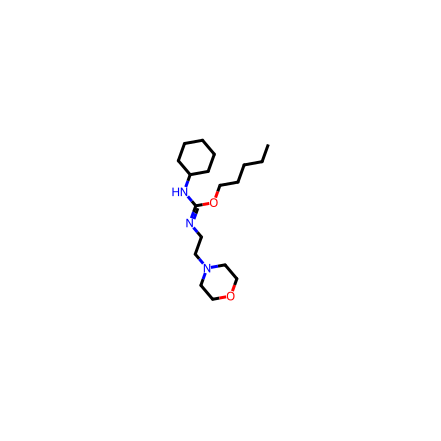 CCCCCO/C(=N\CCN1CCOCC1)NC1CCCCC1